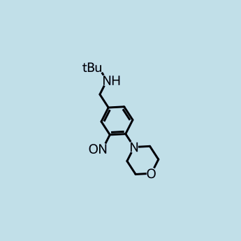 CC(C)(C)NCc1ccc(N2CCOCC2)c(N=O)c1